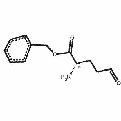 N[C@@H](CCC=O)C(=O)OCc1ccccc1